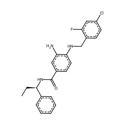 CC[C@@H](NC(=O)c1ccc(NCc2ccc(Cl)cc2F)c(N)c1)c1ccccc1